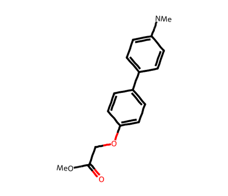 CNc1ccc(-c2ccc(OCC(=O)OC)cc2)cc1